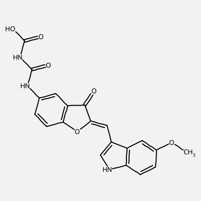 COc1ccc2[nH]cc(/C=C3\Oc4ccc(NC(=O)NC(=O)O)cc4C3=O)c2c1